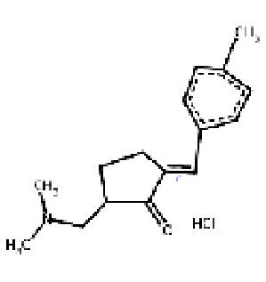 Cc1ccc(/C=C2\CCC(CN(C)C)C2=O)cc1.Cl